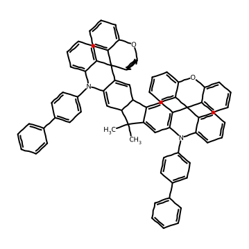 CC1(C)c2cc3c(cc2C2C=C4C(=CC21)N(c1ccc(-c2ccccc2)cc1)c1ccccc1C41c2ccccc2Oc2ccccc21)C1(c2ccccc2Oc2ccccc21)c1ccccc1N3c1ccc(-c2ccccc2)cc1